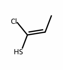 CC=C(S)Cl